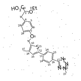 CCOC(Cc1ccc(OCc2sc(-c3ccc(-c4nnn(C)n4)cc3)cc2C)cc1)C(=O)O